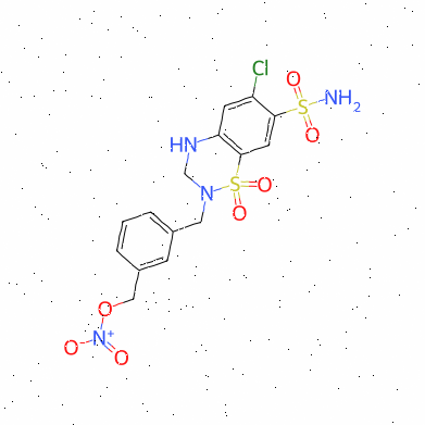 NS(=O)(=O)c1cc2c(cc1Cl)NCN(Cc1cccc(CO[N+](=O)[O-])c1)S2(=O)=O